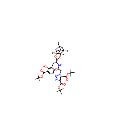 COc1c(C[C@H](NC(=O)Cn2nnc(C(=O)OC(C)(C)C)c2C(=O)OC(C)(C)C)B2O[C@@H]3C[C@@H]4C[C@@H](C4(C)C)[C@]3(C)O2)cccc1C(=O)OC(C)(C)C